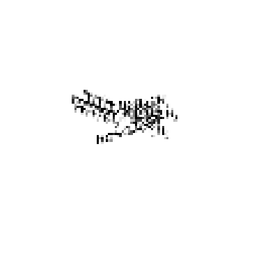 C[Si](C)(CCCOCCO)O[Si](C)(C)O[Si](C)(C)O[Si](C)(C)O[Si](C)(C)CCC(F)(F)C(F)(F)C(F)(F)C(F)(F)C(F)(F)C(F)(F)F